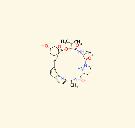 CC1NC(=O)C(C(C)C)OC(=O)C2(/C=C/c3ccc4ccc(nc4c3)C(C)NC(=O)C3CCCN(N3)C1=O)CCC(O)CC2